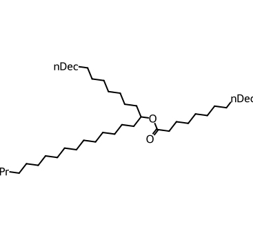 CCCCCCCCCCCCCCCCCC(=O)OC(CCCCCCCCCCCCCCCCC)CCCCCCCCCCCCCC(C)C